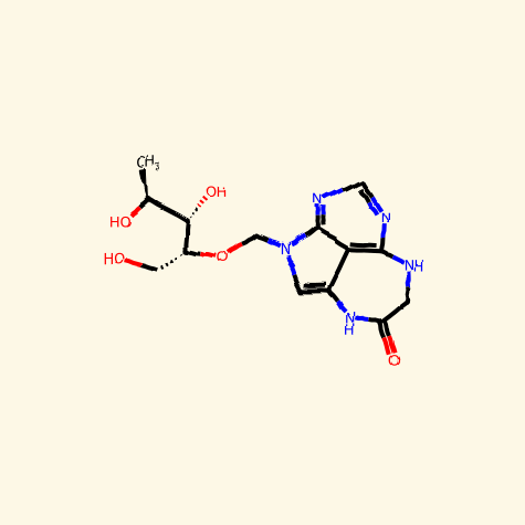 C[C@H](O)[C@H](O)[C@@H](CO)OCn1cc2c3c(ncnc31)NCC(=O)N2